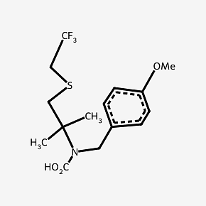 COc1ccc(CN(C(=O)O)C(C)(C)CSCC(F)(F)F)cc1